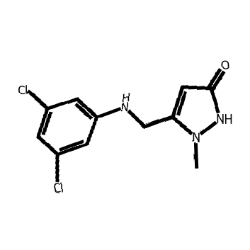 Cn1[nH]c(=O)cc1CNc1cc(Cl)cc(Cl)c1